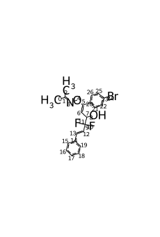 CC(C)=NO/C(=C/C(O)C(F)(F)/C=C/c1ccccc1)c1ccc(Br)cc1